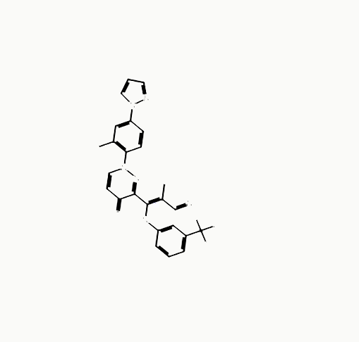 C/C(C=N)=C(/Nc1cccc(C(F)(F)F)c1)c1nn(-c2ccc(-n3cccn3)cc2C)ccc1=O